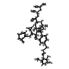 O=C(O)C[C@@H](O)CC(=O)N1C[C@H]2CC(c3ccc(CCCOc4c(F)ccc(F)c4F)cc3)=C(C(=O)N(Cc3ccccc3F)C3CC3)[C@@H](C1)N2